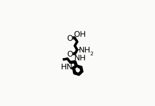 CCc1[nH]c2ccccc2c1NC(=O)[C@@H](N)CCC(=O)O